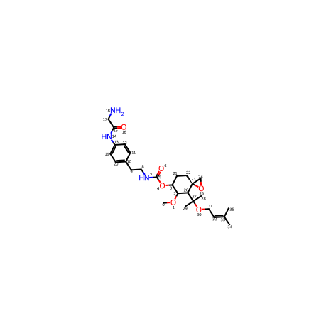 COC1C(OC(=O)NCCc2ccc(NC(=O)CN)cc2)CC[C@]2(CO2)C1C(C)(C)OCC=C(C)C